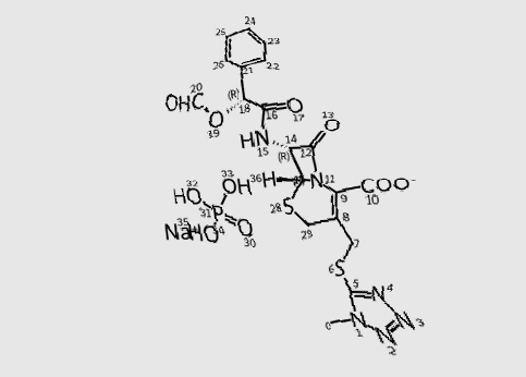 Cn1nnnc1SCC1=C(C(=O)[O-])N2C(=O)[C@@H](NC(=O)[C@H](OC=O)c3ccccc3)[C@H]2SC1.O=P(O)(O)O.[Na+]